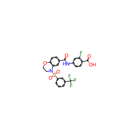 O=C(Nc1ccc(C(=O)O)c(F)c1)c1ccc2c(c1)N(S(=O)(=O)c1cccc(C(F)(F)F)c1)CCO2